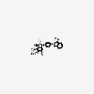 Oc1c(Cl)cc2c(c1Cl)NNN2c1ccc(NCc2ccccc2C(F)(F)F)cc1